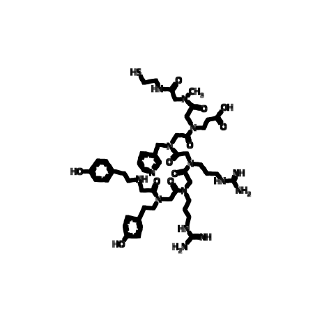 CN(CC(=O)NCCS)C(=O)CN(CCC(=O)O)C(=O)CN(Cc1cccnc1)C(=O)CN(CCCNC(=N)N)C(=O)CN(CCCNC(=N)N)C(=O)CN(CCc1ccc(O)cc1)C(=O)CNCCc1ccc(O)cc1